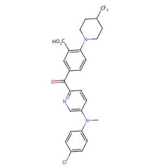 CN(c1ccc(Cl)cc1)c1ccc(C(=O)c2ccc(N3CCC(C(F)(F)F)CC3)c(C(=O)O)c2)nc1